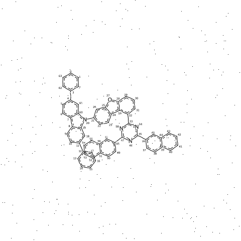 c1ccc(-c2ccc3c4ccc(-c5ccccc5)cc4n(-c4ccc5c(c4)oc4cccc(-c6nc(-c7ccc8ccccc8c7)nc(-c7ccc8ccccc8c7)n6)c45)c3c2)cc1